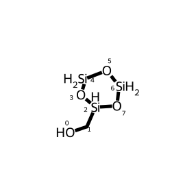 OC[SiH]1O[SiH2]O[SiH2]O1